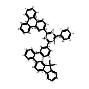 CC1(C)c2ccccc2-c2ccc(-c3ccccc3-c3cccc(-c4nc(-c5ccccc5)nc(-c5ccc6c7ccccc7c7ccccc7c6c5)n4)c3)cc21